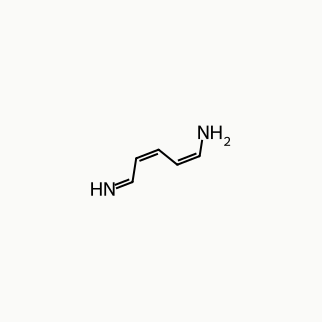 N=C/C=C\C=C/N